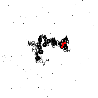 CC(C)Cc1ccc(C(C)C(=O)O)cc1.CC(CN1c2ccccc2Sc2ccccc21)N(C)C.COc1cccc([C@@]2(O)CCCC[C@@H]2CN(C)C)c1.Cn1c(=O)c2c(ncn2C)n(C)c1=O.O=C(O)c1cccnc1.O=C1CC[C@@]2(O)[C@H]3Cc4ccc(O)c5c4[C@@]2(CCN3CC2CC2)[C@H]1O5